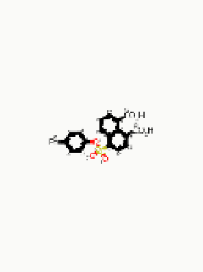 CCc1ccc(OS(=O)(=O)c2ccc(C(=O)O)c3c(C(=O)O)cccc23)cc1